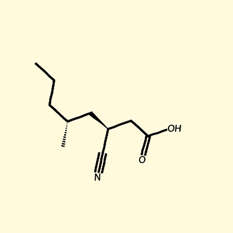 CCC[C@@H](C)C[C@H](C#N)CC(=O)O